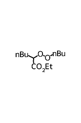 CCCCOOC(CCCC)C(=O)OCC